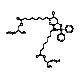 CCCCCCCC(CCC)COC(=O)CCCCCCCOC(=O)CC(O[Si](c1ccccc1)(c1ccccc1)C(C)(C)C)C(=O)OCCCCCCCC(=O)OCC(CCC)CCCCCCC